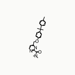 Cc1ccc(C(C)(C)c2ccc(OCc3ccnc(C(=O)N(C)C)n3)cc2)cc1